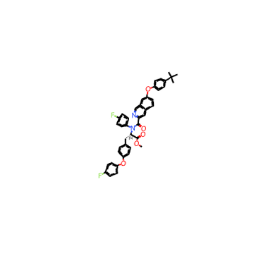 COC(=O)[C@H](Cc1ccc(Oc2ccc(F)cc2)cc1)N(C(=O)c1cc2ccc(Oc3ccc(C(C)(C)C)cc3)cc2cn1)c1ccc(F)cc1